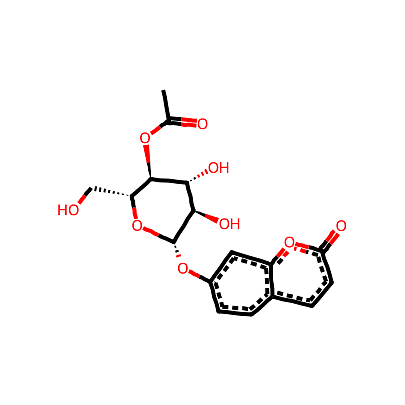 CC(=O)O[C@H]1[C@H](O)[C@@H](O)[C@H](Oc2ccc3ccc(=O)oc3c2)O[C@@H]1CO